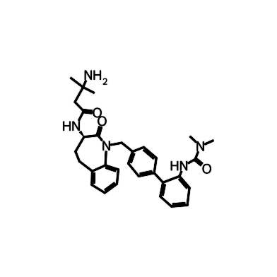 CN(C)C(=O)Nc1ccccc1-c1ccc(CN2C(=O)[C@H](NC(=O)CC(C)(C)N)CCc3ccccc32)cc1